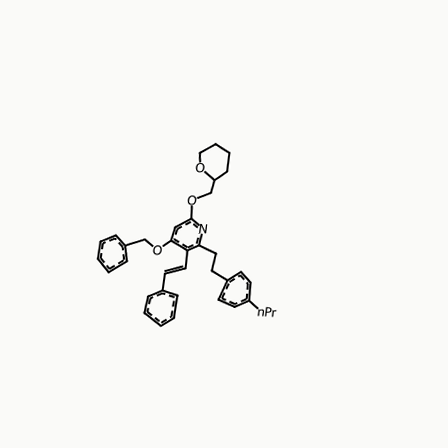 CCCc1ccc(CCc2nc(OCC3CCCCO3)cc(OCc3ccccc3)c2/C=C/c2ccccc2)cc1